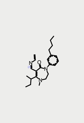 C=C/N=C\C1=C(C(C)CC)N(C)CCN(c2cccc(CCCC)c2)C1=O